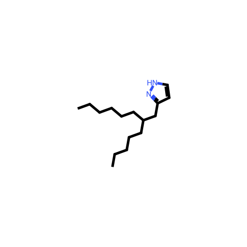 CCCCCCC(CCCCC)Cc1cc[nH]n1